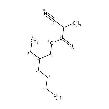 CCCCC(CC)COC(=O)C(C)C#N